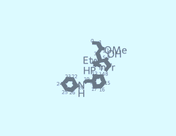 C\C=C(/C=C(\C(O)=C/C)C(CC)(CCC)Pc1ccccc1CNc1ccccc1)OC